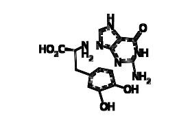 N[C@@H](Cc1ccc(O)c(O)c1)C(=O)O.Nc1nc2nc[nH]c2c(=O)[nH]1